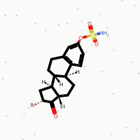 CC[C@]12CC[C@@H]3c4ccc(OS(N)(=O)=O)cc4CC[C@H]3[C@@H]1C[C@@H](Br)C2=O